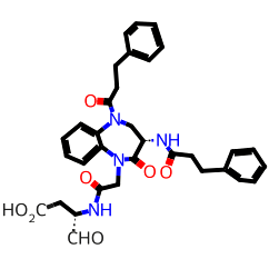 O=C[C@H](CC(=O)O)NC(=O)CN1C(=O)[C@@H](NC(=O)CCc2ccccc2)CN(C(=O)CCc2ccccc2)c2ccccc21